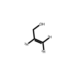 [2H]C([2H])=C([2H])CO